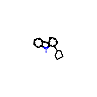 c1ccc2c(c1)[nH]c1c([C]3CCCC3)cccc12